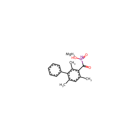 Cc1cc(C)c(-c2ccccc2)c(C)c1C(=O)[PH](=O)O.[MgH2]